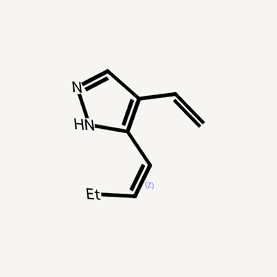 C=Cc1cn[nH]c1/C=C\CC